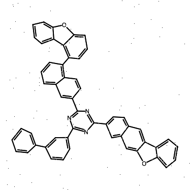 c1ccc(-c2cccc(-c3nc(-c4ccc5cc6c(cc5c4)oc4ccccc46)nc(-c4ccc5c(-c6cccc7oc8ccccc8c67)cccc5c4)n3)c2)cc1